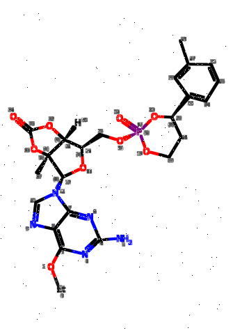 CCOc1nc(N)nc2c1ncn2[C@@H]1O[C@H](CO[P@]2(=O)OCC[C@H](c3cccc(C)c3)O2)[C@H]2OC(=O)O[C@]21C